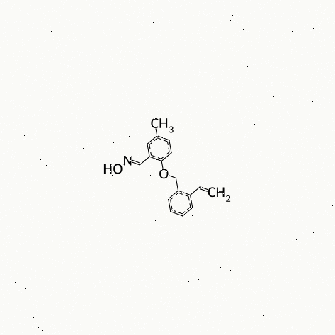 C=Cc1ccccc1COc1ccc(C)cc1/C=N/O